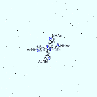 CC(=O)Nc1ccc(C=Cc2nc(C=Cc3ccc(NC(C)=O)nc3)c(C=Cc3ccc(NC(C)=O)nc3)nc2C=Cc2ccc(NC(C)=O)nc2)cn1